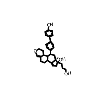 C[C@]12C[C@H](c3ccc(-c4ccc(C#N)cc4)cc3)C3C4CCOC=C4CCC3C1=CC[C@@]2(O)CCCO